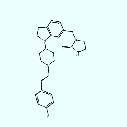 O=C1NCCN1Cc1ccc2c(c1)N(C1CCN(CCc3ccc(F)cc3)CC1)CC2